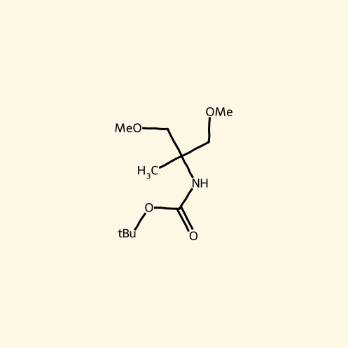 COCC(C)(COC)NC(=O)OC(C)(C)C